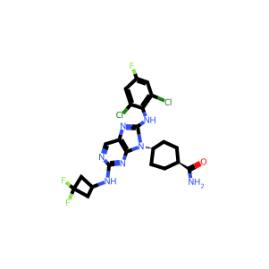 NC(=O)[C@H]1CC[C@H](n2c(Nc3c(Cl)cc(F)cc3Cl)nc3cnc(NC4CC(F)(F)C4)nc32)CC1